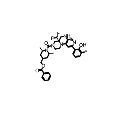 C[C@@H]1CC(COC(=O)c2ccccc2)C[C@H](C)N1C(=O)N1CCN2c3cc(-c4cccc(F)c4O)nnc3NC[C@@]2(C(F)F)C1